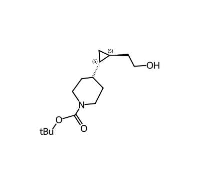 CC(C)(C)OC(=O)N1CCC([C@@H]2C[C@H]2CCO)CC1